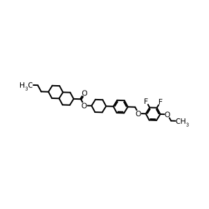 CCCC1CCC2CC(C(=O)OC3CCC(c4ccc(COc5ccc(OCC)c(F)c5F)cc4)CC3)CCC2C1